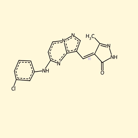 CC1=NNC(=O)/C1=C/c1cnn2ccc(Nc3cccc(Cl)c3)nc12